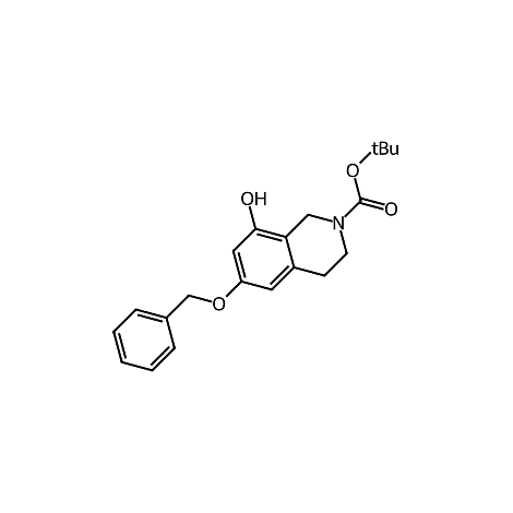 CC(C)(C)OC(=O)N1CCc2cc(OCc3ccccc3)cc(O)c2C1